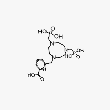 O=C(O)c1cccc(CN2CCN(CP(=O)(O)O)CCN(CP(=O)(O)O)CC2)n1